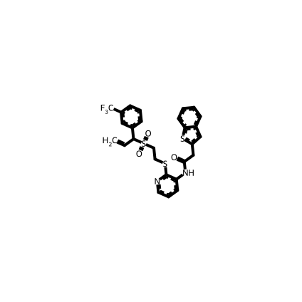 C=CC(c1cccc(C(F)(F)F)c1)S(=O)(=O)CCSc1ncccc1NC(=O)Cc1cc2ccccc2s1